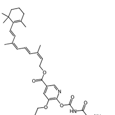 CCOc1cc(C(=O)OCC=C(C)C=CC=C(C)C=CC2=C(C)CCCC2(C)C)cnc1OC(=O)NC(=O)CN